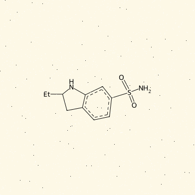 CCC1Cc2ccc(S(N)(=O)=O)cc2N1